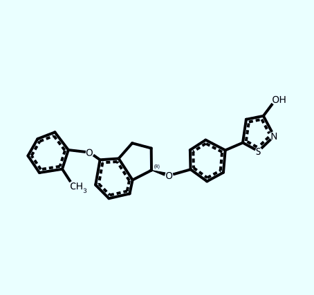 Cc1ccccc1Oc1cccc2c1CC[C@H]2Oc1ccc(-c2cc(O)ns2)cc1